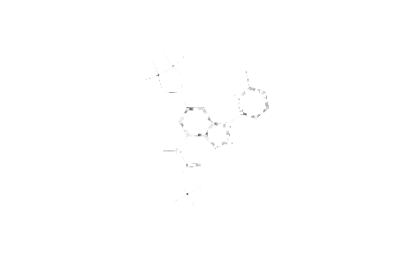 Cc1cccc(-n2ncc3c(N(C)C(=O)OC(C)(C)C)cc(B4OC(C)(C)C(C)(C)O4)cc32)n1